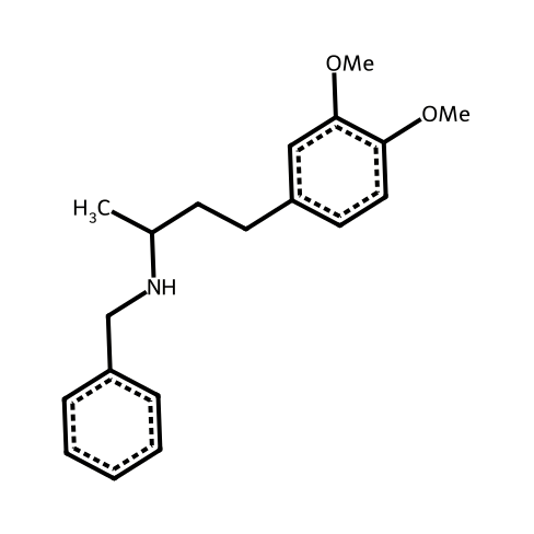 COc1ccc(CCC(C)NCc2ccccc2)cc1OC